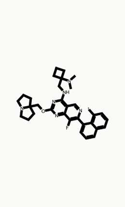 CN(C)C1(CNc2nc(OCC34CCCN3CCC4)nc3c(F)c(-c4cccc5cccc(I)c45)ncc23)CCC1